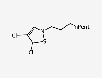 CCCCCCCCN1C=C(Cl)C(Cl)S1